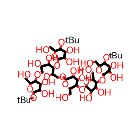 CC(C)(C)OC1OC(CO)C(OC2OC(COC3OC(CO)C(OC4OC(CO)C(OC5OC(CO)C(OC(C)(C)C)C(O)C5O)C(O)C4O)C(O)C3O)C(OC3OC(CO)C(OC(C)(C)C)C(O)C3O)C(O)C2O)C(O)C1O